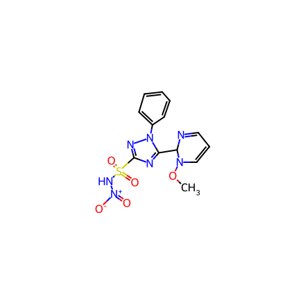 CON1C=CC=NC1c1nc(S(=O)(=O)N[N+](=O)[O-])nn1-c1ccccc1